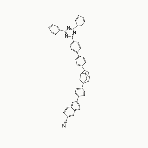 N#Cc1ccc2cc(-c3ccc(C45CC6CC(C4)C(c4ccc(-c7ccc(-c8nc(-c9ccccc9)nc(-c9ccccc9)n8)cc7)cc4)(C6)C5)cc3)ccc2c1